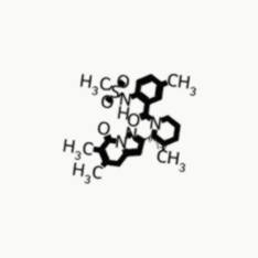 CC1=C(C)C(=O)n2nc([C@H]3[C@@H](C)CCCN3C(=O)c3cc(C)ccc3NS(C)(=O)=O)cc2C1